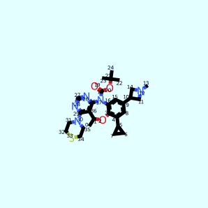 CC1Oc2c(C3CC3)cc(C3CN(C)C3)cc2N(C(=O)OC(C)(C)C)c2ncnc(N3CCSCC3)c21